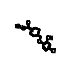 CC(C)(C)OC(=O)N1CCC(COc2ccc(Cl)cc2C#N)CC1